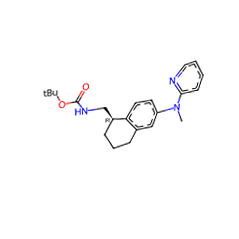 CN(c1ccc2c(c1)CCC[C@H]2CNC(=O)OC(C)(C)C)c1ccccn1